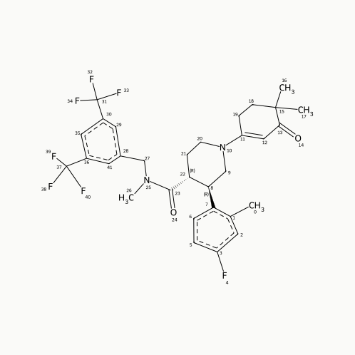 Cc1cc(F)ccc1[C@@H]1CN(C2=CC(=O)C(C)(C)CC2)CC[C@H]1C(=O)N(C)Cc1cc(C(F)(F)F)cc(C(F)(F)F)c1